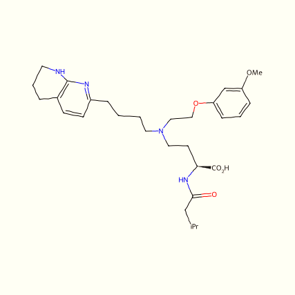 COc1cccc(OCCN(CCCCc2ccc3c(n2)NCCC3)CC[C@H](NC(=O)CC(C)C)C(=O)O)c1